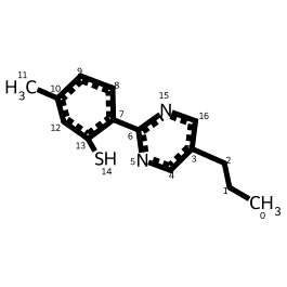 CCCc1cnc(-c2ccc(C)cc2S)nc1